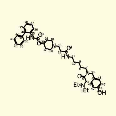 CCN(CC)CC(=O)N(CCCCCNC(=O)CCN1CCC(OC(=O)Nc2ccccc2-c2ccccc2)CC1)Cc1ccc(O)cc1